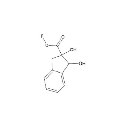 O=C(OF)C1(O)Cc2ccccc2C1O